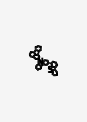 c1ccc2c(c1)-c1cccc3cc(-n4c5ccccc5c5cc(-c6cccc7c6sc6ccccc67)ccc54)cc-2c13